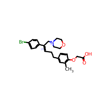 Cc1cc(CC/C=C(\CN2CCOCC2)c2ccc(Br)cc2)ccc1OCC(=O)O